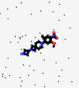 COc1cc(N2CCC3(CC2)CN(C2CNC2)C3)c(C)cc1[N+](=O)[O-]